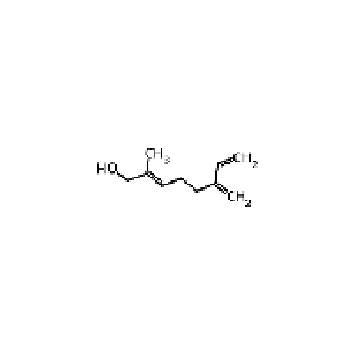 C=CC(=C)CC/C=C(\C)CO